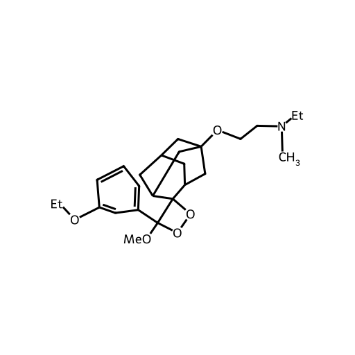 CCOc1cccc(C2(OC)OOC23C2CC4CC3CC(OCCN(C)CC)(C4)C2)c1